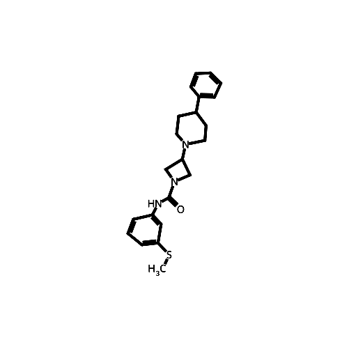 CSc1cccc(NC(=O)N2CC(N3CCC(c4ccccc4)CC3)C2)c1